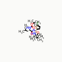 CC(C)C[C@H](NC(=O)OC(C)(C)C)C(=O)N=S(=O)(N[Si](C)(C)C(C)(C)C)c1ccc(F)s1